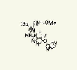 COCCN1CC[C@H](n2nc(Nc3nc4ncc(Oc5cnn6ccncc56)c(C(F)F)c4n3C)cc2C(C)(C)C)C1